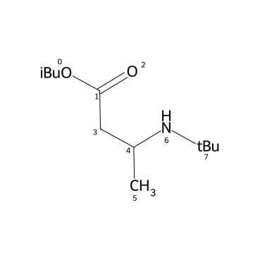 CC(C)COC(=O)CC(C)NC(C)(C)C